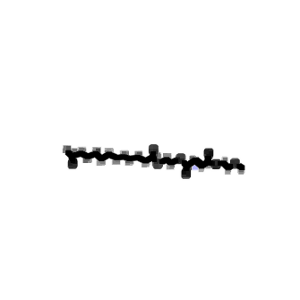 COCCOC(=O)/C=C/C(=O)OCCOC(=O)CCCCCCCCCCC(C)=O